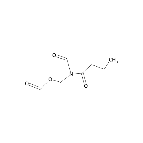 CCCC(=O)N(C=O)COC=O